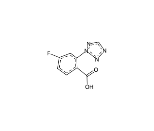 O=C(O)c1ccc(F)cc1-n1ncnn1